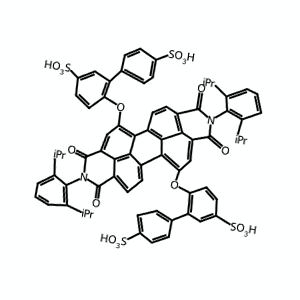 CC(C)c1cccc(C(C)C)c1N1C(=O)c2ccc3c4c(Oc5ccc(S(=O)(=O)O)cc5-c5ccc(S(=O)(=O)O)cc5)cc5c6c(ccc(c7c(Oc8ccc(S(=O)(=O)O)cc8-c8ccc(S(=O)(=O)O)cc8)cc(c2c37)C1=O)c64)C(=O)N(c1c(C(C)C)cccc1C(C)C)C5=O